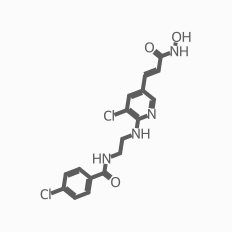 O=C(/C=C/c1cnc(NCCNC(=O)c2ccc(Cl)cc2)c(Cl)c1)NO